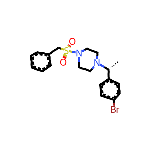 C[C@H](c1ccc(Br)cc1)N1CCN(S(=O)(=O)Cc2ccccc2)CC1